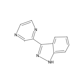 [c]1nccnc1-c1n[nH]c2ccccc12